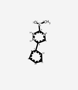 C[S+]([O-])c1ncc(-c2ccccc2)nn1